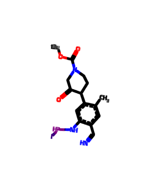 Cc1cc(C=N)c(NPI)cc1C1CCN(C(=O)OC(C)(C)C)CC1=O